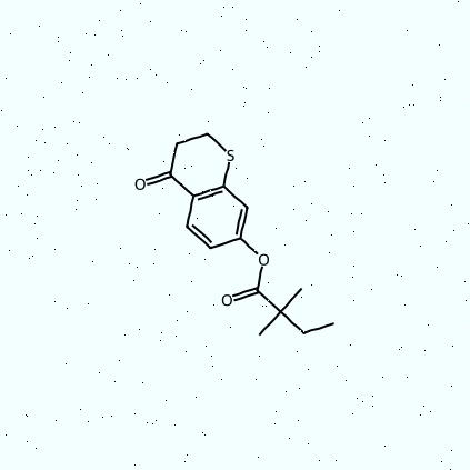 CCC(C)(C)C(=O)Oc1ccc2c(c1)SCCC2=O